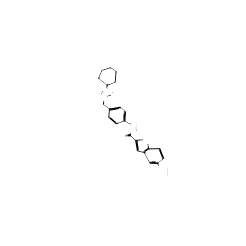 C[N+](C)(Cc1ccc(NC(=O)c2cc3cc(Cl)ccc3o2)cc1)C1CCCCC1.[I-]